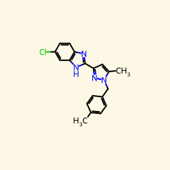 Cc1ccc(Cn2nc(-c3nc4ccc(Cl)cc4[nH]3)cc2C)cc1